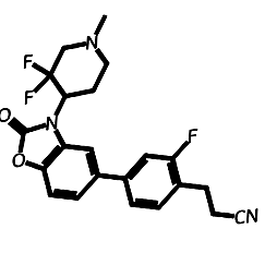 CN1CCC(n2c(=O)oc3ccc(-c4ccc(CCC#N)c(F)c4)cc32)C(F)(F)C1